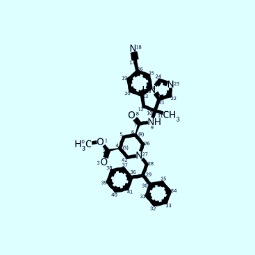 COC(=O)[C@H]1C[C@@H](C(=O)NC(C)(Cc2ccc(C#N)cc2)c2cnc[nH]2)CN(CC(c2ccccc2)c2ccccc2)C1